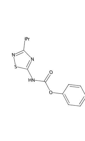 CC(C)c1nsc(NC(=O)Oc2ccccc2)n1